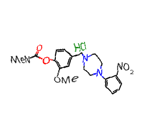 CNC(=O)Oc1ccc(CN2CCN(c3ccccc3[N+](=O)[O-])CC2)cc1OC.Cl